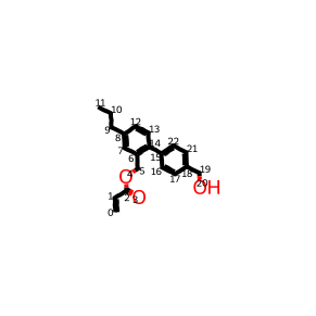 C=CC(=O)OCc1cc(CCC)ccc1-c1ccc(CO)cc1